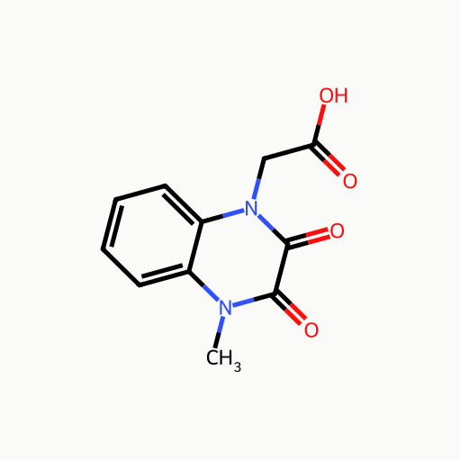 Cn1c(=O)c(=O)n(CC(=O)O)c2ccccc21